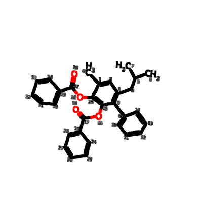 Cc1cc(CC(C)C)c(-c2ccccc2)c(OC(=O)c2ccccc2)c1OC(=O)c1ccccc1